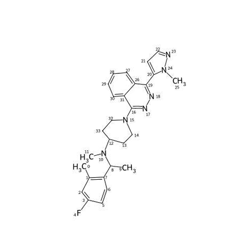 Cc1cc(F)ccc1C(C)N(C)C1CCN(c2nnc(-c3ccnn3C)c3ccccc23)CC1